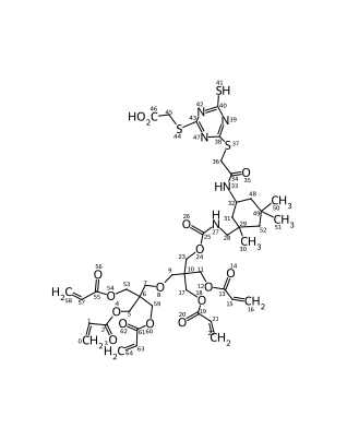 C=CC(=O)OCC(COCC(COC(=O)C=C)(COC(=O)C=C)COC(=O)NCC1(C)CC(NC(=O)CSc2nc(S)nc(SCC(=O)O)n2)CC(C)(C)C1)(COC(=O)C=C)COC(=O)C=C